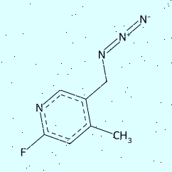 Cc1cc(F)ncc1CN=[N+]=[N-]